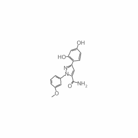 COc1cccc(-n2nc(-c3ccc(O)cc3O)cc2C(N)=O)c1